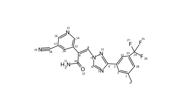 Cc1cc(-c2ncn(/C=C(\C(N)=O)c3cncc(C#N)c3)n2)cc(C(F)(F)F)c1